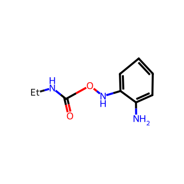 CCNC(=O)ONc1ccccc1N